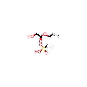 CCOC(=O)CO.CS(=O)(=O)O